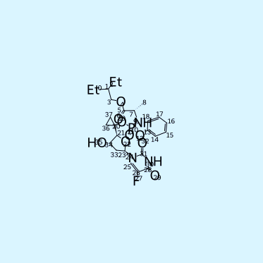 CCC(CC)COC(=O)[C@H](C)N[P@@](=O)(Oc1ccccc1)OC1([C@H]2O[C@@H](n3cc(F)c(=O)[nH]c3=O)C[C@@H]2O)CC1